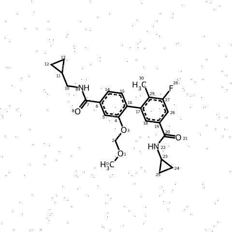 COCOc1cc(C(=O)NCC2CC2)ccc1-c1cc(C(=O)NC2CC2)cc(F)c1C